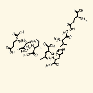 CC(C)C[C@H](N)C(=O)O.CC(C)[C@H](N)C(=O)O.CC[C@H](C)[C@H](N)C(=O)O.C[C@H](N)C(=O)O.N[C@@H](CCC(=O)O)C(=O)O.N[C@@H](CCC(=O)O)C(=O)O.N[C@@H](Cc1c[nH]cn1)C(=O)O